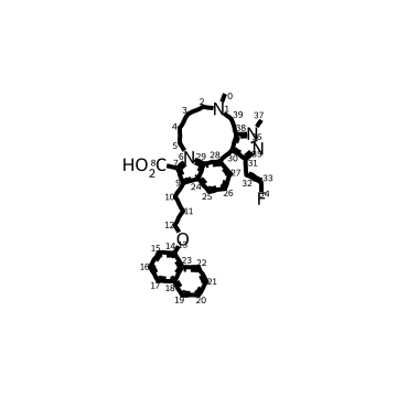 CN1CCCCn2c(C(=O)O)c(CCCOc3cccc4ccccc34)c3cccc(c32)-c2c(/C=C/F)nn(C)c2C1